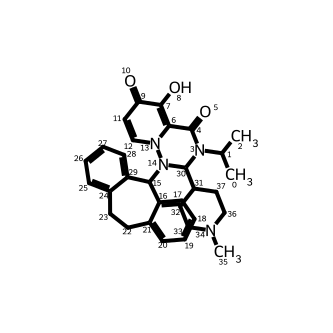 CC(C)N1C(=O)c2c(O)c(=O)ccn2N(C2c3ccccc3CCc3ccccc32)C1C1CCN(C)CC1